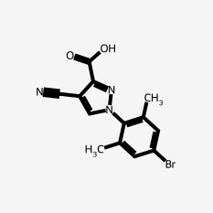 Cc1cc(Br)cc(C)c1-n1cc(C#N)c(C(=O)O)n1